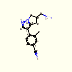 Cc1cc(C#N)ccc1-c1cnn2c1CC(CN)C2